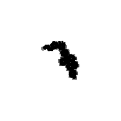 C/C=C\C=C/c1cccc(C2CC(c3ccc(-c4c5ccccc5c(-c5ccc(-c6ccc(C)cc6)c6ccccc56)c5ccccc45)cc3)=CC=N2)c1